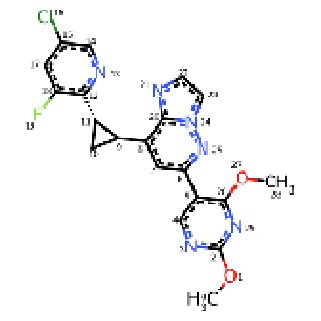 COc1ncc(-c2cc(C3C[C@@H]3c3ncc(Cl)cc3F)c3nccn3n2)c(OC)n1